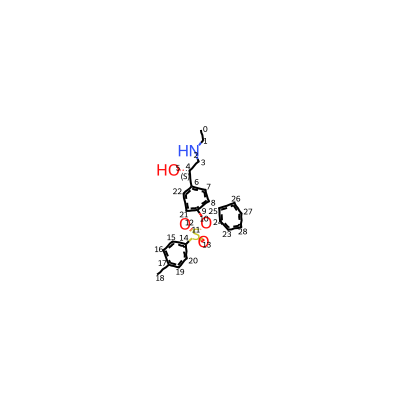 CCNC[C@@H](O)c1ccc(OS(=O)(=O)c2ccc(C)cc2)cc1.c1ccccc1